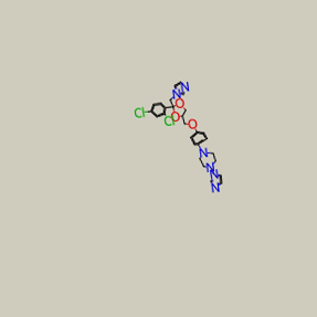 Clc1ccc(C2(Cn3ccnc3)OCC(COc3ccc(N4CCN(n5ccnc5)CC4)cc3)O2)c(Cl)c1